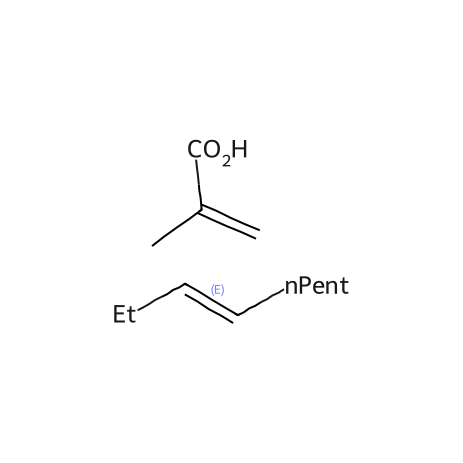 C=C(C)C(=O)O.CC/C=C/CCCCC